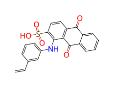 C=Cc1cccc(Nc2c(S(=O)(=O)O)ccc3c2C(=O)c2ccccc2C3=O)c1